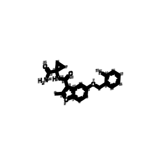 Cc1oc2ccc(OCc3ccccc3F)cc2c1C(=O)NC1(C(N)=O)CC1